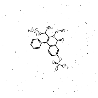 CC(C)Cn1c(C(NC(=O)O)C(C)(C)C)c(-c2ccccc2)c2ccc(OS(=O)(=O)C(F)(F)F)cc2c1=O